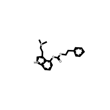 CN(C)CCc1c[nH]c2cccc(OC(=O)OCCc3ccccc3)c12